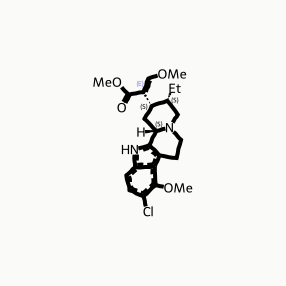 CC[C@@H]1CN2CCc3c([nH]c4ccc(Cl)c(OC)c34)[C@@H]2C[C@@H]1/C(=C\OC)C(=O)OC